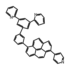 c1ccc(-c2cc(-c3cccc(-c4ccc5ccc6c(-c7ccncc7)ccc7ccc4c5c76)c3)cc(-c3ccccn3)c2)nc1